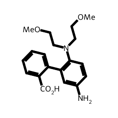 COCCN(CCOC)c1ccc(N)cc1-c1ccccc1C(=O)O